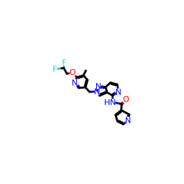 Cc1cc(Cn2cc3c(NC(=O)c4cccnc4)nccc3n2)cnc1OCC(F)F